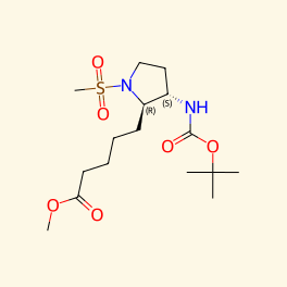 COC(=O)CCCC[C@@H]1[C@@H](NC(=O)OC(C)(C)C)CCN1S(C)(=O)=O